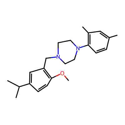 COc1ccc(C(C)C)cc1CN1CCN(c2ccc(C)cc2C)CC1